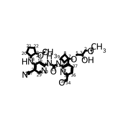 COCC(O)COC12CC(C1)N(C(=O)Nc1cc(NC3CCCC3OC)c(C#N)cn1)c1nc(C=O)ccc12